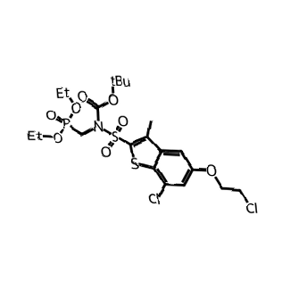 CCOP(=O)(CN(C(=O)OC(C)(C)C)S(=O)(=O)c1sc2c(Cl)cc(OCCCl)cc2c1C)OCC